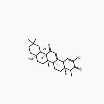 [C-]#[N+]C1=C[C@]2(C)C3=CC(=O)[C@@H]4[C@@H]5CC(C)(C)CC[C@]5(O)CC[C@@]4(C)[C@]3(C)CC[C@H]2[C@H](C)C1=O